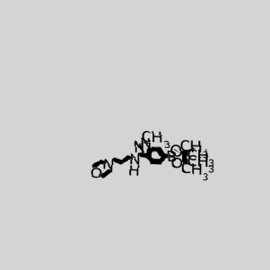 Cn1nc(NCCCN2CCOCC2)c2ccc(B3OC(C)(C)C(C)(C)O3)cc21